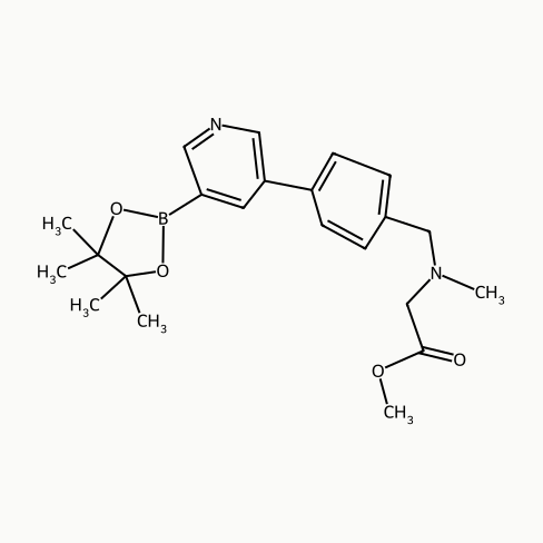 COC(=O)CN(C)Cc1ccc(-c2cncc(B3OC(C)(C)C(C)(C)O3)c2)cc1